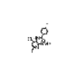 CNc1nc(I)cc(Cl)c1NC(=O)c1ccc(F)cc1